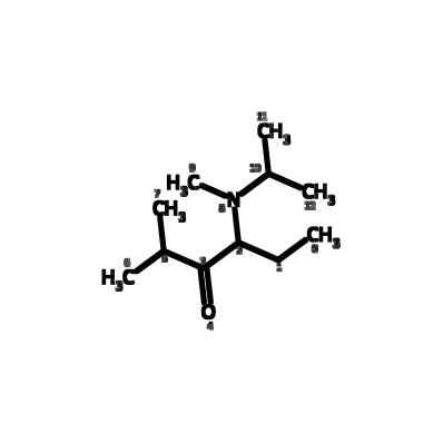 CCC(C(=O)C(C)C)N(C)C(C)C